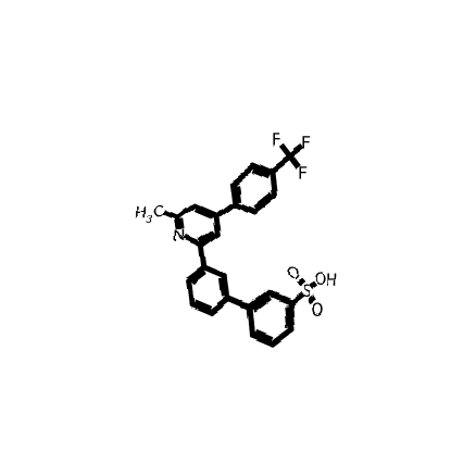 Cc1cc(-c2ccc(C(F)(F)F)cc2)cc(-c2cccc(-c3cccc(S(=O)(=O)O)c3)c2)n1